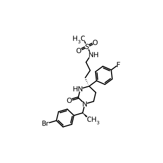 C[C@@H](c1ccc(Br)cc1)N1CC[C@](CCCNS(C)(=O)=O)(c2ccc(F)cc2)NC1=O